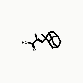 C/C(=C\C1(C)C2CC3CC(C2)CC1C3)C(=O)O